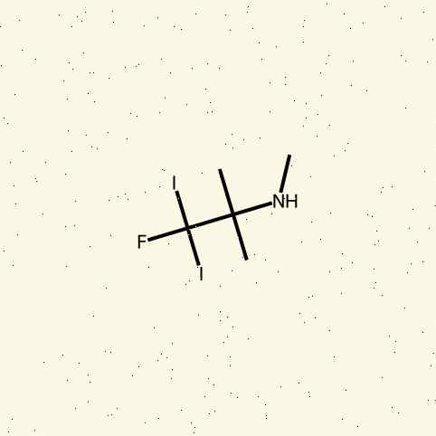 CNC(C)(C)C(F)(I)I